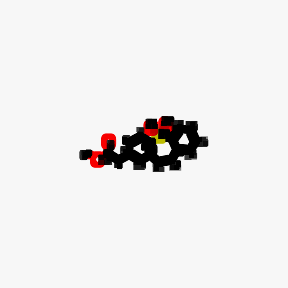 COC(=O)Cc1ccc2c(c1)C=Cc1ccccc1S2(=O)=O